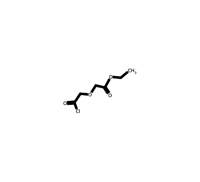 CCOC(=O)COCC(=O)Cl